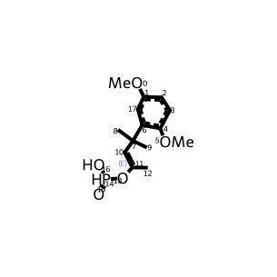 COc1ccc(OC)c(C(C)(C)/C=C(\C)O[PH](=O)O)c1